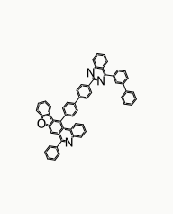 c1ccc(-c2cccc(-c3nc(-c4ccc(-c5ccc(-c6c7c(cc8c(-c9ccccc9)nc9ccccc9c68)oc6ccccc67)cc5)cc4)nc4ccccc34)c2)cc1